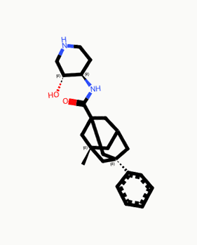 C[C@]12CC3CC(C(=O)N[C@@H]4CCNC[C@H]4O)(C1)C[C@@](c1ccccc1)(C3)C2